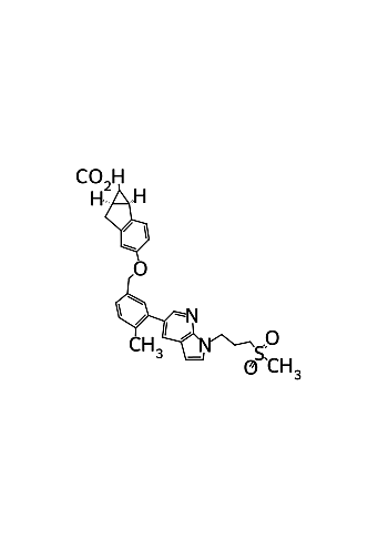 Cc1ccc(COc2ccc3c(c2)C[C@H]2C(C(=O)O)[C@@H]32)cc1-c1cnc2c(ccn2CCCS(C)(=O)=O)c1